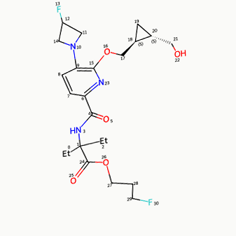 CCC(CC)(NC(=O)c1ccc(N2CC(F)C2)c(OC[C@H]2C[C@@H]2CO)n1)C(=O)OCCCF